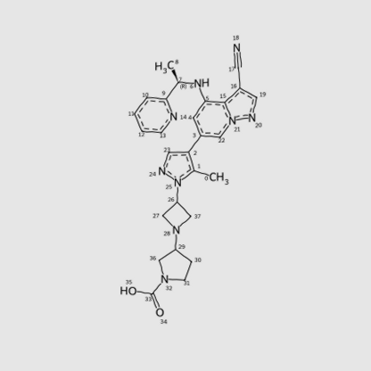 Cc1c(-c2cc(N[C@H](C)c3ccccn3)c3c(C#N)cnn3c2)cnn1C1CN(C2CCN(C(=O)O)C2)C1